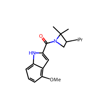 COc1cccc2[nH]c(C(=O)N3CC(C(C)C)C3(C)C)cc12